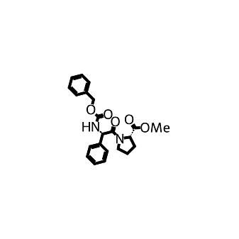 COC(=O)[C@@H]1CCCN1C(=O)[C@@H](NC(=O)OCc1ccccc1)c1ccccc1